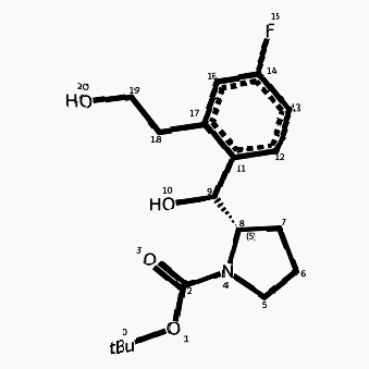 CC(C)(C)OC(=O)N1CCC[C@H]1C(O)c1ccc(F)cc1CCO